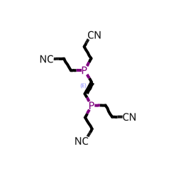 N#CCCP(/C=C/P(CCC#N)CCC#N)CCC#N